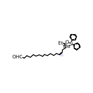 CCC(CC/C=C\CCCCCCCCCCCCC=O)O[Si](c1ccccc1)(c1ccccc1)C(C)(C)C